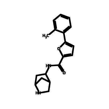 Cc1ccccc1-c1ccc(C(=O)NC2CC3CC2CN3)o1